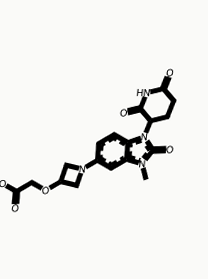 Cn1c(=O)n(C2CCC(=O)NC2=O)c2ccc(N3CC(OCC(=O)O)C3)cc21